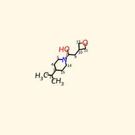 CC(C)C1CCN(C(O)CC2COC2)CC1